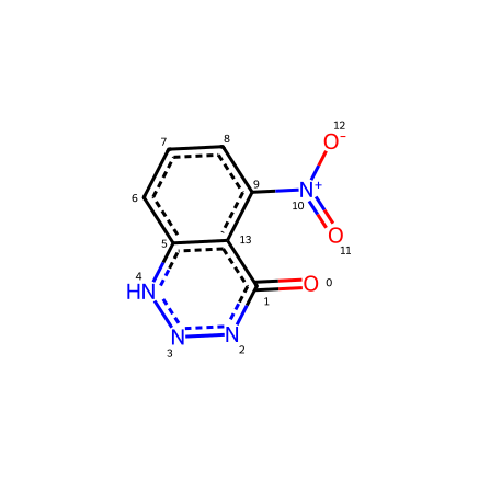 O=c1nn[nH]c2cccc([N+](=O)[O-])c12